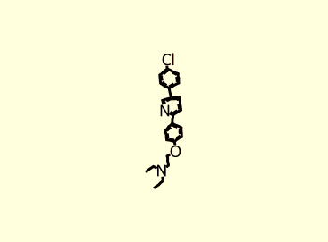 CCN(CC)CCOc1ccc(-c2ccc(-c3ccc(Cl)cc3)cn2)cc1